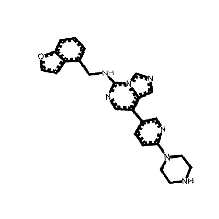 c1cc(CNc2ncc(-c3ccc(N4CCNCC4)nc3)c3cncn23)c2ccoc2c1